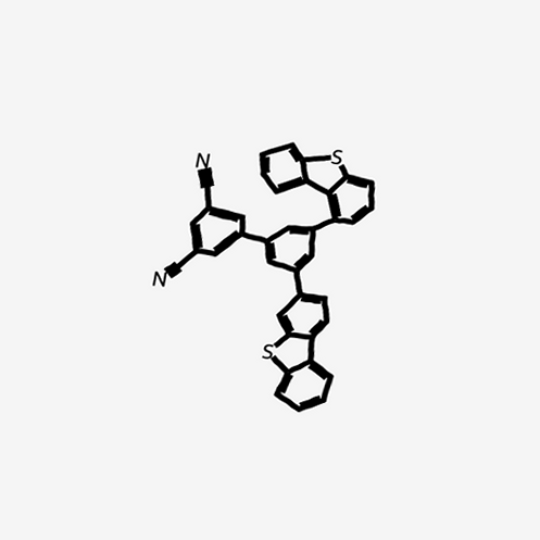 N#Cc1cc(C#N)cc(-c2cc(-c3ccc4c(c3)sc3ccccc34)cc(-c3cccc4sc5ccccc5c34)c2)c1